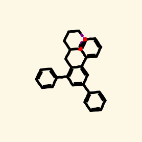 C1=PCCCC1Cc1c(-c2ccccc2)cc(-c2ccccc2)cc1-c1ccccc1